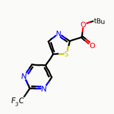 CC(C)(C)OC(=O)c1ncc(-c2cnc(C(F)(F)F)nc2)s1